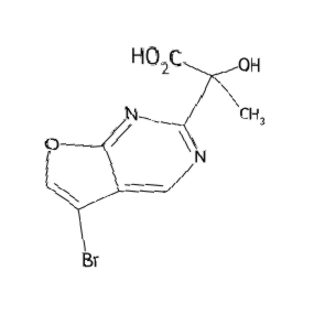 CC(O)(C(=O)O)c1ncc2c(Br)coc2n1